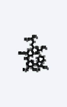 C=CC(=O)Nc1cc(Nc2nc(C)c(C(=O)O)c(-c3cn(C)c4ccccc34)n2)c(OC)cc1CCCN(C)C